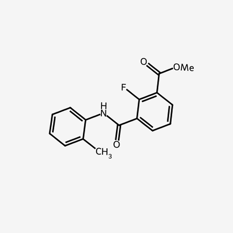 COC(=O)c1cccc(C(=O)Nc2ccccc2C)c1F